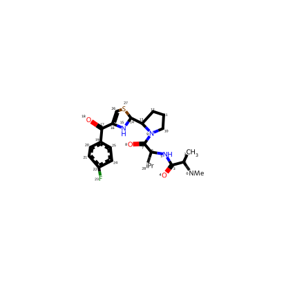 CNC(C)C(=O)NC(C(=O)N1CCCC1C1NC(C(=O)c2ccc(F)cc2)=CS1)C(C)C